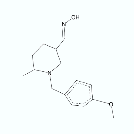 COc1ccc(CN2CC(/C=N/O)CCC2C)cc1